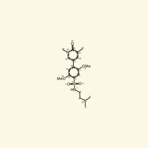 COc1cc(S(=O)(=O)NCCN(C)C)c(OC)cc1-c1cc(C)c(=O)n(C)c1